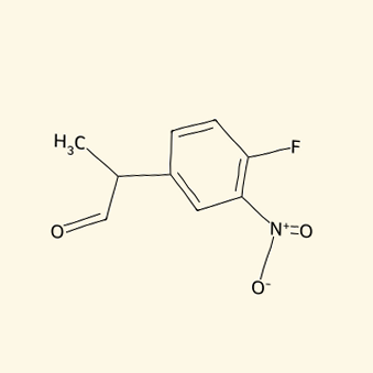 CC(C=O)c1ccc(F)c([N+](=O)[O-])c1